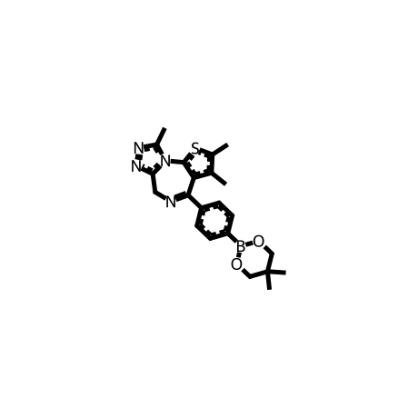 Cc1sc2c(c1C)C(c1ccc(B3OCC(C)(C)CO3)cc1)=NCc1nnc(C)n1-2